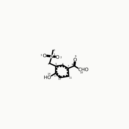 CS(=O)(=O)Cc1cc(C(=O)C=O)ccc1O